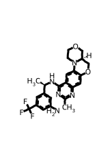 Cc1nc(N[C@H](C)c2cc(N)cc(C(F)(F)F)c2)c2cc3c(cc2n1)OC[C@@H]1COCCN31